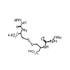 CCCCCCNC(=O)NC(CSSCC(NC(=O)NCCCCCC)C(=O)O)C(=O)O